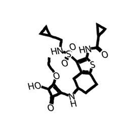 CCOC1=C(NC2CCc3sc(NC(=O)C4CC4)c(S(=O)(=O)NCC4CC4)c3C2)C(=O)C1O